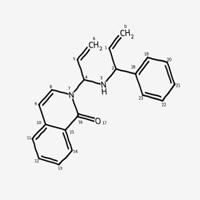 C=CC(NC(C=C)n1ccc2ccccc2c1=O)c1ccccc1